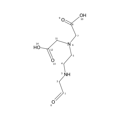 O=CCNCCN(CC(=O)O)CC(=O)O